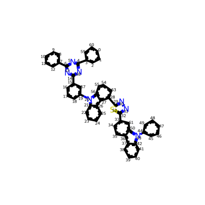 c1ccc(-c2nc(-c3ccccc3)nc(-c3cccc(-n4c5ccccc5c5c(-c6nnc(-c7ccc8c9ccccc9n(-c9ccccc9)c8c7)s6)cccc54)c3)n2)cc1